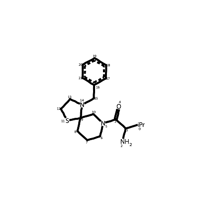 CC(C)C(N)C(=O)N1CCCC2(C1)SCCN2Cc1ccccc1